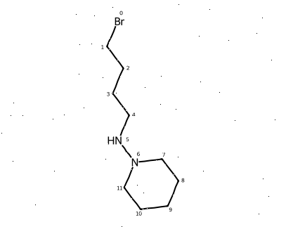 BrCCCCNN1CCCCC1